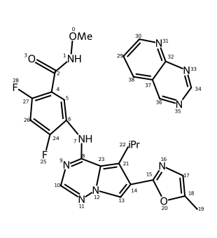 CONC(=O)c1cc(Nc2ncnn3cc(-c4ncc(C)o4)c(C(C)C)c23)c(F)cc1F.c1cnc2ncncc2c1